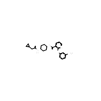 CSc1cccc(Oc2ncccc2C(=O)N[C@H]2CC[C@@H](NC(=O)CC3CC3)CC2)c1